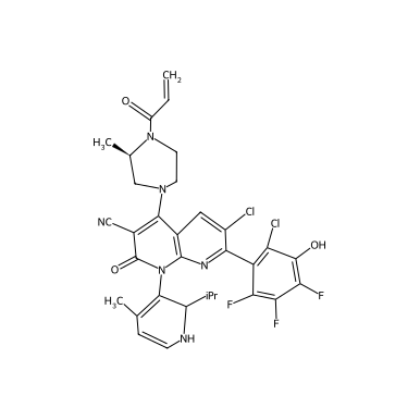 C=CC(=O)N1CCN(c2c(C#N)c(=O)n(C3=C(C)C=CNC3C(C)C)c3nc(-c4c(F)c(F)c(F)c(O)c4Cl)c(Cl)cc23)C[C@H]1C